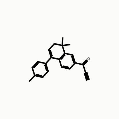 C#CC(=O)c1ccc2c(c1)C(C)(C)CC=C2c1ccc(C)cc1